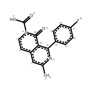 Cc1cc2ccn(C(=O)O)c(=O)c2c(-c2ccc(F)cc2)n1